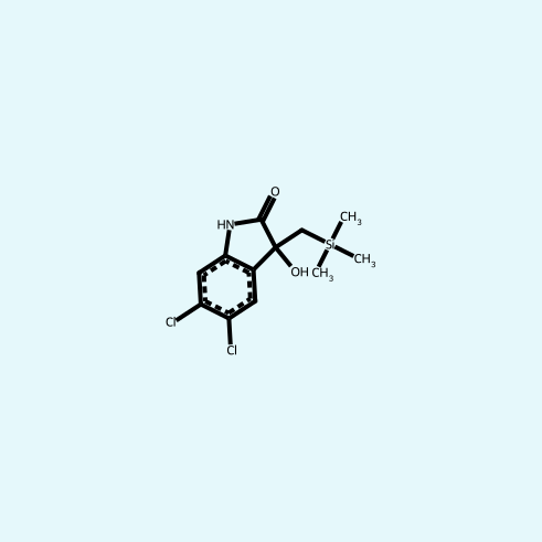 C[Si](C)(C)CC1(O)C(=O)Nc2cc(Cl)c(Cl)cc21